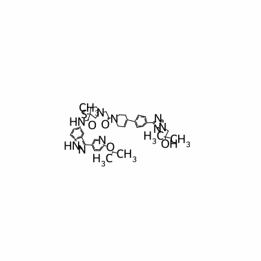 CS[C@@]1(C(=O)Nc2ccc3[nH]nc(-c4ccc(OC(C)C)nc4)c3c2)CCN(CC(=O)N2CC=C(c3ccc(-c4ncn(CC(C)(C)O)n4)cc3)CC2)C1